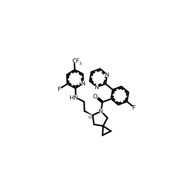 O=C(c1cc(F)ccc1-c1ncccn1)N1CC2(CC2)C[C@H]1CCNc1ncc(C(F)(F)F)cc1F